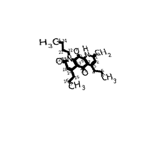 C=C1C=C(CCC)C2=C(N1)C(=O)c1c(c(CCC)cc(=O)n1CCCC)C2=O